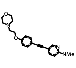 CNc1ccc(C#Cc2ccc(OCCN3CCOCC3)cc2)cn1